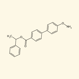 CC(OC(=O)c1ccc(-c2ccc(ON)cc2)cc1)c1ccccc1